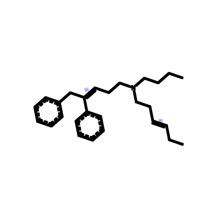 CC/C=C/CCN(CC/C=C(/Cc1ccccc1)c1ccccc1)CCCC